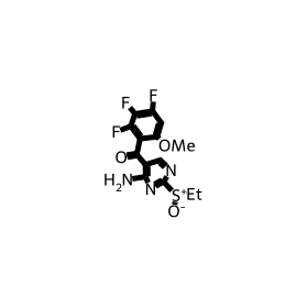 CC[S+]([O-])c1ncc(C(=O)c2c(OC)cc(F)c(F)c2F)c(N)n1